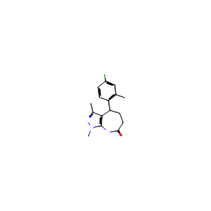 Cc1cc(Br)ccc1C1CCC(=O)Nc2c1c(C)nn2C